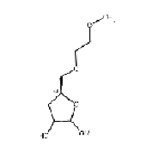 COCCOC[C@@H]1CC(O)C(O)O1